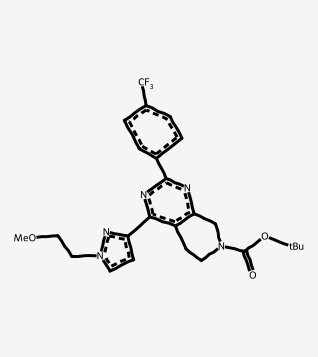 COCCn1ccc(-c2nc(-c3ccc(C(F)(F)F)cc3)nc3c2CCN(C(=O)OC(C)(C)C)C3)n1